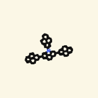 c1cc2ccc3cc(-c4cc5ccc6cc(-c7cc8ccc9cccc%10ccc(c7)c8c9%10)cc7c6c5c(c4)n7-c4cc5ccc6cccc7ccc(c4)c5c67)cc4ccc(c1)c2c34